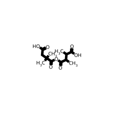 CC(C(=O)O)C(C)C(=O)OC(=O)C(C)(C)CC(=O)O